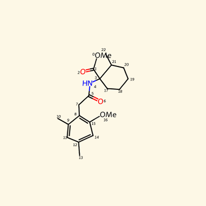 COC(=O)C1(NC(=O)Cc2c(C)cc(C)cc2OC)CCCCC1C